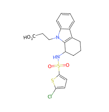 O=C(O)CCn1c2c(c3ccccc31)CCCC2NS(=O)(=O)c1ccc(Cl)s1